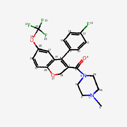 CN1CCN(C(=O)C2=C(c3ccc(F)cc3)c3cc(OC(F)(F)F)ccc3OC2)CC1